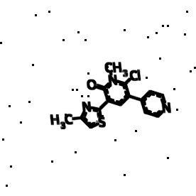 Cc1csc(-c2cc(-c3ccncc3)c(Cl)n(C)c2=O)n1